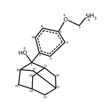 OC1(c2ccc(OC[SiH3])cc2)C2CC3CC(C2)CC1C3